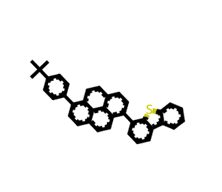 CC(C)(C)c1ccc(-c2ccc3ccc4c(-c5cccc6c5sc5ccccc56)ccc5ccc2c3c54)cc1